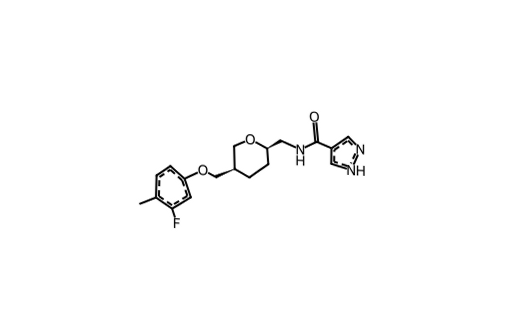 Cc1ccc(OC[C@@H]2CC[C@H](CNC(=O)c3cn[nH]c3)OC2)cc1F